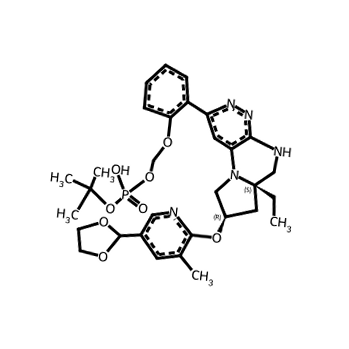 CC[C@]12CNc3nnc(-c4ccccc4OCOP(=O)(O)OC(C)(C)C)cc3N1C[C@H](Oc1ncc(C3OCCO3)cc1C)C2